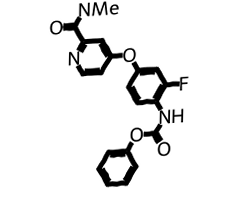 CNC(=O)c1cc(Oc2ccc(NC(=O)Oc3ccccc3)c(F)c2)ccn1